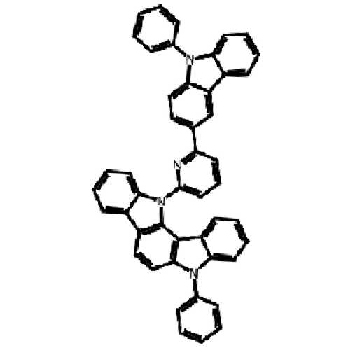 c1ccc(-n2c3ccccc3c3cc(-c4cccc(-n5c6ccccc6c6ccc7c(c8ccccc8n7-c7ccccc7)c65)n4)ccc32)cc1